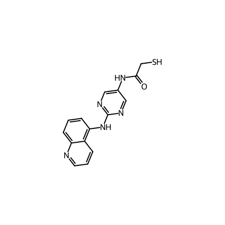 O=C(CS)Nc1cnc(Nc2cccc3ncccc23)nc1